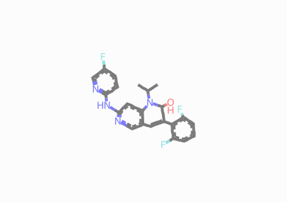 CC(C)N1c2cc(Nc3ccc(F)cn3)ncc2C=C(c2c(F)cccc2F)C1O